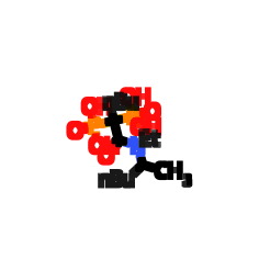 CCCCC(C)N(CC)C(=O)C(CCCC)(P(=O)(O)O)P(=O)(O)O